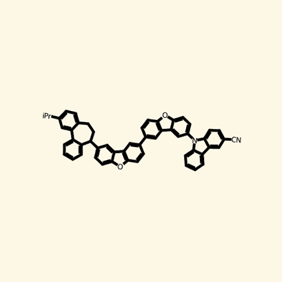 CC(C)c1ccc2c(c1)-c1ccccc1C(c1ccc3oc4ccc(-c5ccc6oc7ccc(-n8c9ccccc9c9cc(C#N)ccc98)cc7c6c5)cc4c3c1)CC2